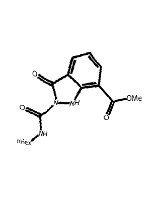 CCCCCCNC(=O)n1[nH]c2c(C(=O)OC)cccc2c1=O